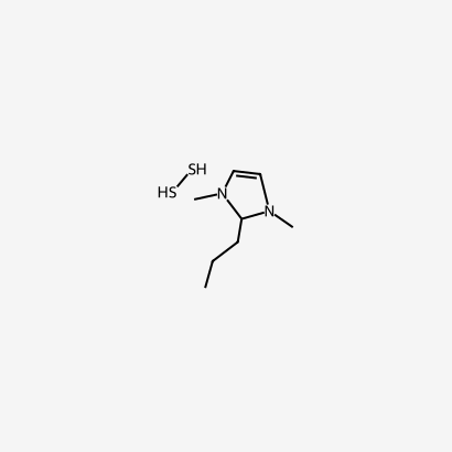 CCCC1N(C)C=CN1C.SS